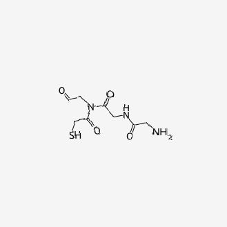 NCC(=O)NCC(=O)N(C[C]=O)C(=O)CS